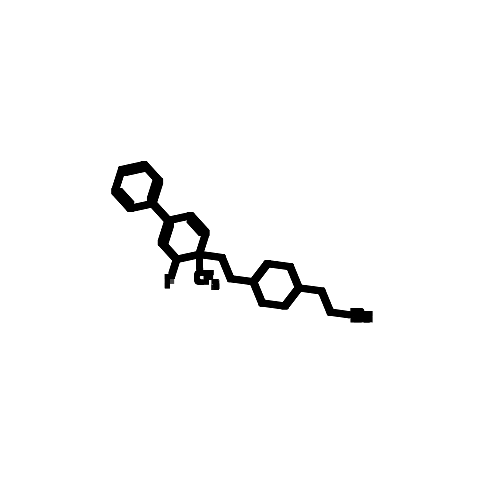 CCC(C)CCC1CCC(CCC2(C(F)(F)F)C=CC(c3ccccc3)=CC2F)CC1